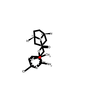 CC(C)(C)OC(=O)N1[C@@H]2CC[C@H]1CN(Cc1ccc(Cl)nc1N)C2